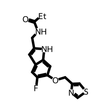 CCC(=O)NCc1cc2cc(F)c(OCc3cscn3)cc2[nH]1